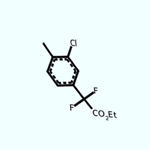 CCOC(=O)C(F)(F)c1ccc(C)c(Cl)c1